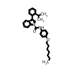 CCCCCCCOc1ccc(NC(=O)n2cc(-c3ccccc3C(C)C)c3ccccc32)cc1